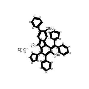 CC(C)(C)c1cc2c(cc1-c1ccccc1)=[C]([Zr+2])c1c(C3=CC=CC3)c(-c3ccccc3)c(C(C)(C)C)c(=C(c3ccccc3)c3ccccc3)c1=2.[Cl-].[Cl-]